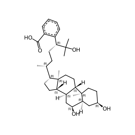 C[C@H](CC[C@H](c1ccccc1C(=O)O)C(C)(C)O)[C@H]1CC[C@H]2[C@@H]3C[C@H](O)[C@@H]4C[C@H](O)CC[C@]4(C)[C@H]3CC[C@]12C